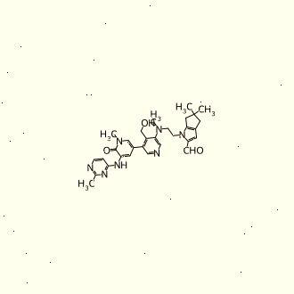 Cc1nccc(Nc2cc(-c3cncc(N(C)CCn4c(C=O)cc5c4CC(C)(C)C5)c3CO)cn(C)c2=O)n1